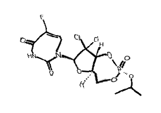 CC(C)O[P@]1(=O)OC[C@H]2O[C@@H](n3cc(F)c(=O)[nH]c3=O)C(Cl)(Cl)[C@@H]2O1